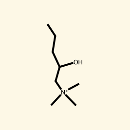 CCCC(O)C[N+](C)(C)C